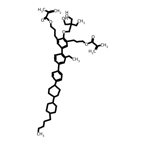 C=C(C)C(=O)OCCCc1cc(-c2ccc(-c3ccc(C4CCC(C5CCC(CCCCC)CC5)CC4)cc3)cc2CC)cc(CCCOC(=O)C(=C)C)c1OCC(CC)(CO)CO